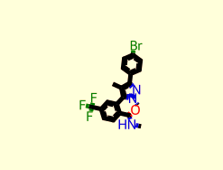 CNC(=O)c1ccc(C(F)(F)F)cc1-c1c(C)c(-c2ccc(Br)cc2)nn1C